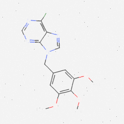 COc1cc(Cn2cnc3c(Cl)ncnc32)cc(OC)c1OC